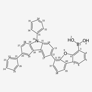 OB(O)c1cccc2c1oc1c(-c3ccc4c(c3)c3cc(-c5ccccc5)ccc3n4-c3ccccc3)cccc12